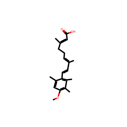 COc1cc(C)c(C=CC(C)=CCCC(C)=CC(=O)O)c(C)c1C